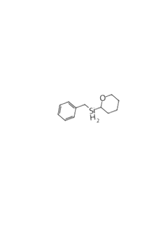 c1ccc(C[SiH2]C2CCCCO2)cc1